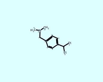 CCC(CC)c1ccc(CN(C)C)cc1